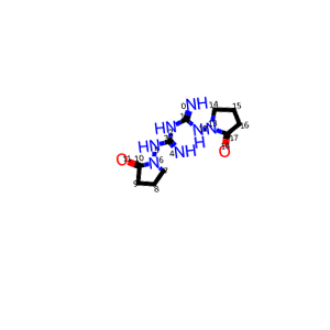 N=C(NC(=N)NN1CCCC1=O)NN1CCCC1=O